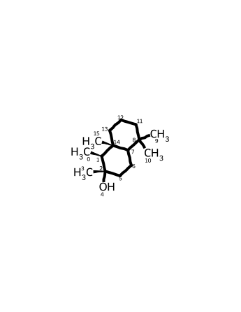 C[C@@H]1[C@@](C)(O)CCC2C(C)(C)CCC[C@]21C